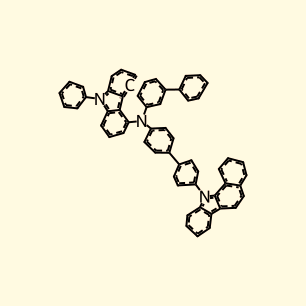 c1ccc(-c2cccc(N(c3ccc(-c4ccc(-n5c6ccccc6c6ccc7ccccc7c65)cc4)cc3)c3cccc4c3c3ccccc3n4-c3ccccc3)c2)cc1